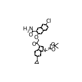 CC1(C)OC[C@@H](Cn2cc(C(=O)COc3cc4ccc(Cl)cc4cc3C(N)=O)c3ccc(C4CC4)cc32)O1